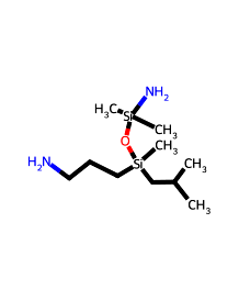 CC(C)C[Si](C)(CCCN)O[Si](C)(C)N